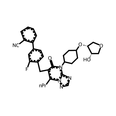 CCCc1c(Cc2ccc(-c3ccccc3C#N)cc2F)c(=O)n(C2CCC(O[C@@H]3COC[C@@H]3O)CC2)c2ncnn12